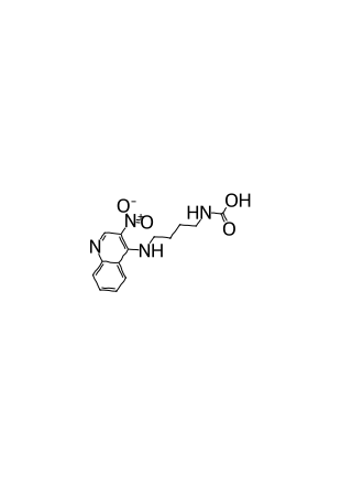 O=C(O)NCCCCNc1c([N+](=O)[O-])cnc2ccccc12